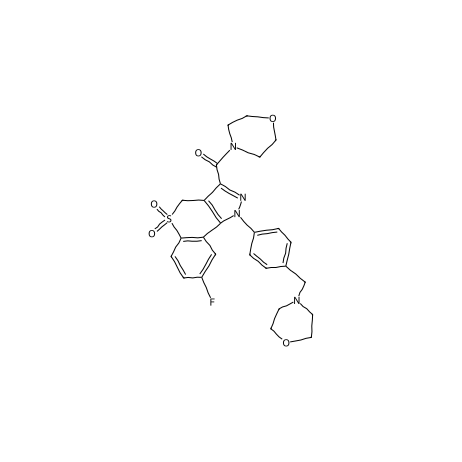 O=C(c1nn(-c2ccc(CN3CCOCC3)cc2)c2c1CS(=O)(=O)c1ccc(F)cc1-2)N1CCOCC1